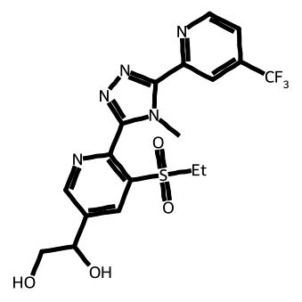 CCS(=O)(=O)c1cc(C(O)CO)cnc1-c1nnc(-c2cc(C(F)(F)F)ccn2)n1C